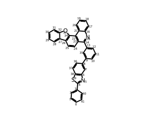 c1ccc(-c2nc3cc(-c4cccc(-c5nc6ccccc6c6c5ccc5c7ccccc7oc56)c4)ccc3s2)cc1